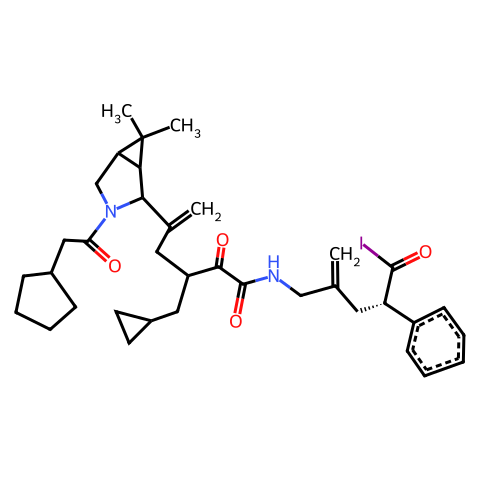 C=C(CNC(=O)C(=O)C(CC(=C)C1C2C(CN1C(=O)CC1CCCC1)C2(C)C)CC1CC1)C[C@H](C(=O)I)c1ccccc1